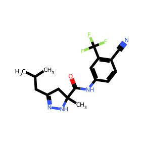 CC(C)CC1=NNC(C)(C(=O)Nc2ccc(C#N)c(C(F)(F)F)c2)C1